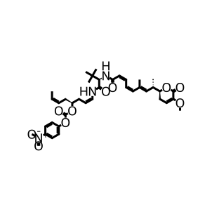 C/C=C\C[C@@H](C/C=C\NC(=O)[C@@H](NC(=O)\C=C/C=C\C(C)=C\[C@H](C)[C@@H]1CC=C(OC)C(=O)O1)C(C)(C)C)OC(=O)Oc1ccc([N+](=O)[O-])cc1